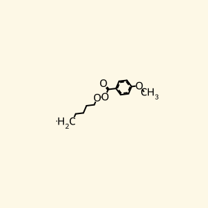 [CH2]CCCCOOC(=O)c1ccc(OC)cc1